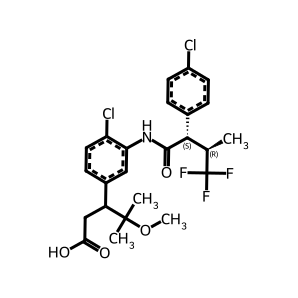 COC(C)(C)C(CC(=O)O)c1ccc(Cl)c(NC(=O)[C@H](c2ccc(Cl)cc2)[C@@H](C)C(F)(F)F)c1